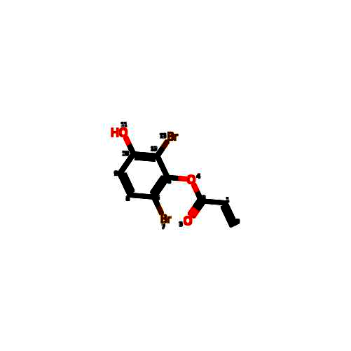 C=CC(=O)Oc1c(Br)ccc(O)c1Br